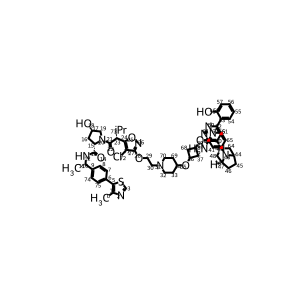 Cc1ncsc1-c1ccc([C@H](C)NC(=O)[C@@H]2C[C@@H](O)CN2C(=O)[C@@H](c2onc(OCCN3CCC(OC4CC(Oc5cc(N6C7CC[C@@H]6CN(c6cc(-c8ccccc8O)nnc6N)C7)ccn5)C4)CC3)c2Cl)C(C)C)cc1